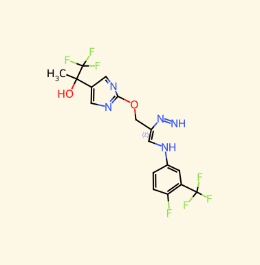 CC(O)(c1cnc(OC/C(=C/Nc2ccc(F)c(C(F)(F)F)c2)N=N)nc1)C(F)(F)F